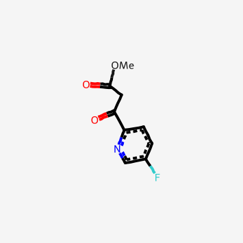 COC(=O)CC(=O)c1ccc(F)cn1